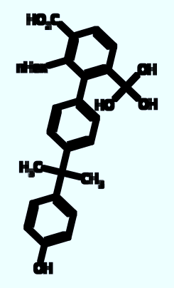 CCCCCCc1c(C(=O)O)ccc(C(O)(O)O)c1-c1ccc(C(C)(C)c2ccc(O)cc2)cc1